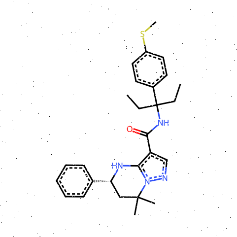 CCC(CC)(NC(=O)c1cnn2c1N[C@@H](c1ccccc1)CC2(C)C)c1ccc(SC)cc1